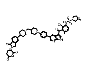 O=C1CC[C@H](N2Cc3cc(C4CCN(CC5CCN(c6ccc(-c7cnc8[nH]cc(C(=O)c9c(F)ccc(NS(=O)(=O)N%10CC[C@@H](F)C%10)c9Cl)c8c7)cc6)CC5)CC4)ccc3C2=O)C(=O)N1